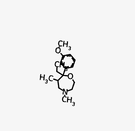 CCC1(c2cccc(OC)c2)OCCN(C)CC1C